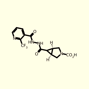 O=C(NNC(=O)C1[C@H]2CN(C(=O)O)C[C@@H]12)c1cccnc1C(F)(F)F